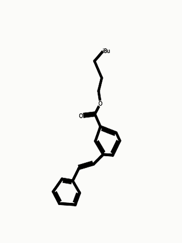 CCC(C)CCCOC(=O)c1cccc(/C=C/c2ccccc2)c1